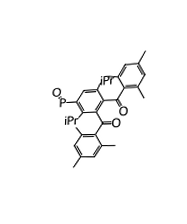 Cc1cc(C)c(C(=O)c2c(C(C)C)cc(P=O)c(C(C)C)c2C(=O)c2c(C)cc(C)cc2C)c(C)c1